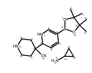 CC1(C)OB(C2=CNC(C3(C#N)CCNCC3)C=C2)OC1(C)C.NC1CC1